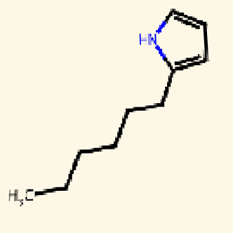 CCCCCCc1[c]cc[nH]1